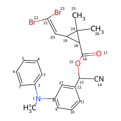 CN(c1ccccc1)c1cccc(C(C#N)OC(=O)C2C(C=C(Br)Br)C2(C)C)c1